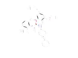 COc1ccc(CN(C(=O)Nc2c(C)cccc2C)C2CCC(C3CCCCC3)CC2)c(OC)c1